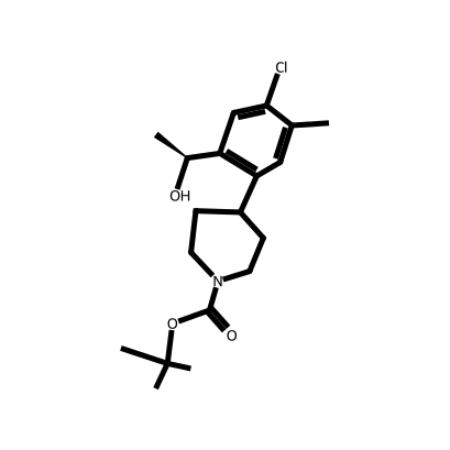 Cc1cc(C2CCN(C(=O)OC(C)(C)C)CC2)c([C@H](C)O)cc1Cl